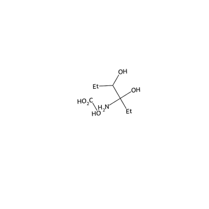 CCC(O)C(N)(O)CC.O=C(O)O